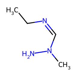 CC/N=C\N(C)N